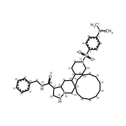 CN(C)c1ccc(S(=O)(=O)N2CCC(C3CC4C(C(=O)NCc5ccccc5)CNN4CC34CCCCCCCCCC4)CC2)cc1